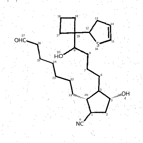 N#CC1C[C@@H](O)C(CCCC(O)C2(C3CC=CS3)CCC2)[C@H]1CCCCCCC=O